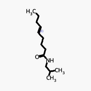 CCC/C=C/CCCC(=O)NCC(C)C